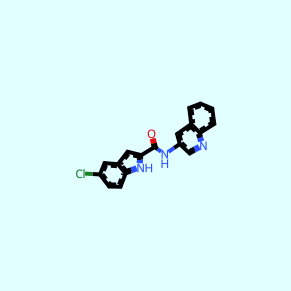 O=C(Nc1cnc2ccccc2c1)c1cc2cc(Cl)ccc2[nH]1